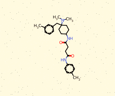 [CH2]c1ccc(NC(=O)CCC(=O)NC2CCC(Cc3cccc(C)c3)(N(C)C)CC2)cc1